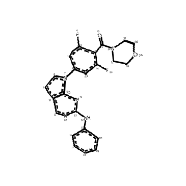 O=C(c1c(F)cc(-n2ccc3cnc(Nc4ccccc4)nc32)cc1F)N1CCOCC1